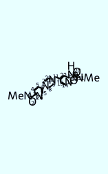 CNC(=O)c1ccc(N2CCN(Cc3ccnc(NS(=O)(=O)NC)c3)CC2)cn1